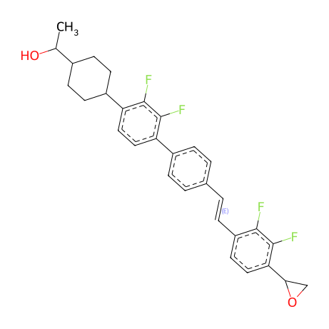 CC(O)C1CCC(c2ccc(-c3ccc(/C=C/c4ccc(C5CO5)c(F)c4F)cc3)c(F)c2F)CC1